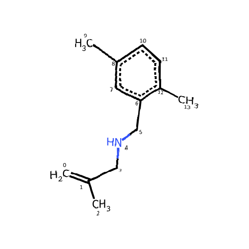 C=C(C)CNCc1cc(C)ccc1C